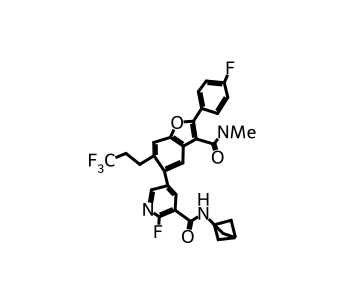 CNC(=O)c1c(-c2ccc(F)cc2)oc2cc(CCC(F)(F)F)c(-c3cnc(F)c(C(=O)NC45CC(C4)C5)c3)cc12